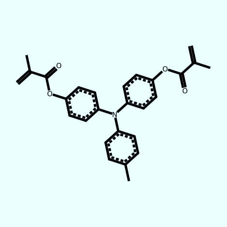 C=C(C)C(=O)Oc1ccc(N(c2ccc(C)cc2)c2ccc(OC(=O)C(=C)C)cc2)cc1